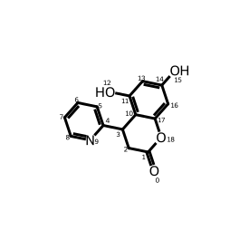 O=C1CC(c2ccccn2)c2c(O)cc(O)cc2O1